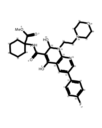 COC(=O)C1(NC(=O)C2=C(O)c3cc(-c4ccc(F)cc4)cnc3N(CCN3CCOCC3)C2O)CCCCC1